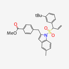 C=CC(c1cccc(C(C)(C)C)c1)S(=O)(=O)n1c(Cc2ccc(C(=O)OC)cc2)cc2cc(C)ccc21